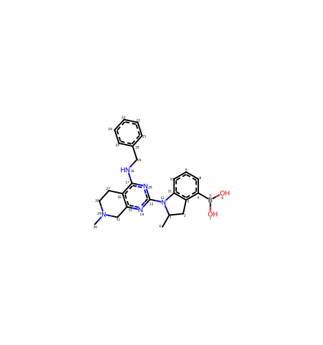 CC1Cc2c(B(O)O)cccc2N1c1nc2c(c(NCc3ccccc3)n1)CCN(C)C2